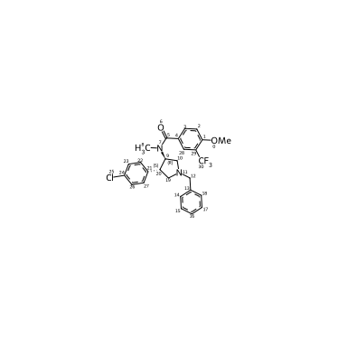 COc1ccc(C(=O)N(C)[C@H]2CN(Cc3ccccc3)C[C@@H]2c2ccc(Cl)cc2)cc1C(F)(F)F